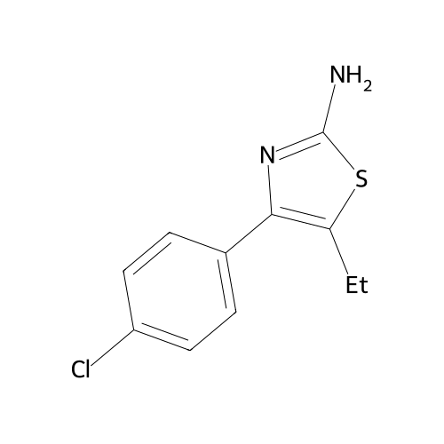 CCc1sc(N)nc1-c1ccc(Cl)cc1